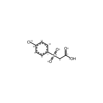 O=C(O)CS(=O)(=O)c1ccc(Cl)cc1